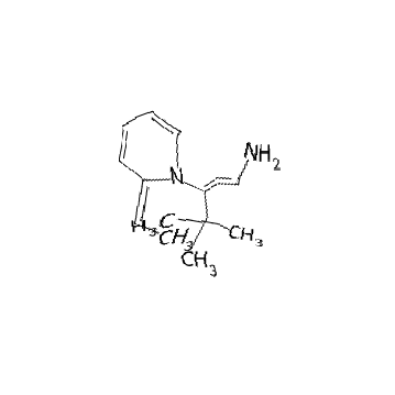 C/C=C1/C=CC=CN1/C(=C\N)C(C)(C)C